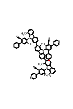 Cc1cc(-c2ccncc2)c(C#N)cc1-n1c2cc(-c3ccc4c5ccc(-c6ccc7c8cccc(C)c8n(-c8cc(C#N)c(-c9ccncc9)cc8C)c7c6C)cc5n(-c5cc(C#N)c(-c6ccncc6)cc5-c5ccccc5)c4c3C)ccc2c2cccc(C)c21